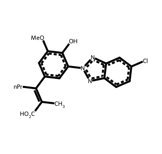 CCCC(=C(C)C(=O)O)c1cc(OC)c(O)c(-n2nc3ccc(Cl)cc3n2)c1